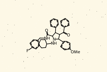 COc1ccc(C2C(C(=O)c3ccccc3)C(c3ccccc3)C(C(=O)NCc3ccc(F)cc3)N2NC2CCCCC2)cc1